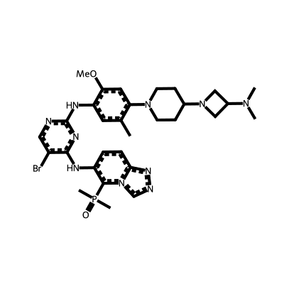 COc1cc(N2CCC(N3CC(N(C)C)C3)CC2)c(C)cc1Nc1ncc(Br)c(Nc2ccc3nncn3c2P(C)(C)=O)n1